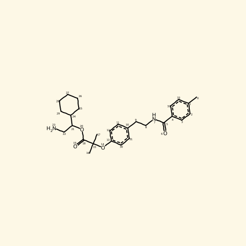 Cc1ccc(C(=O)NCCc2ccc(OC(C)(C)C(=O)OC(CN)C3CCCCC3)cc2)cc1